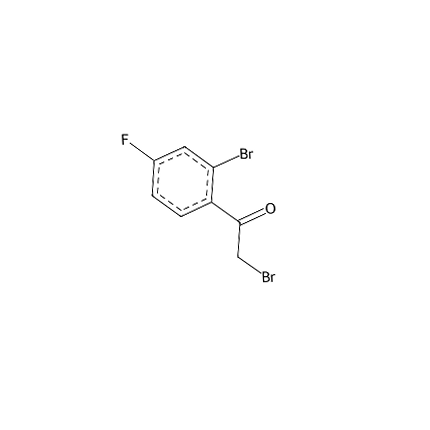 O=C(CBr)c1ccc(F)cc1Br